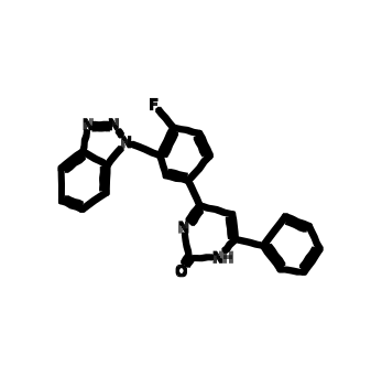 O=c1nc(-c2ccc(F)c(-n3nnc4ccccc43)c2)cc(-c2ccccc2)[nH]1